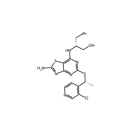 CC(C)C[C@H](CO)Nc1nc(S[C@H](C)c2ccncc2Cl)nc2nc(N)sc12